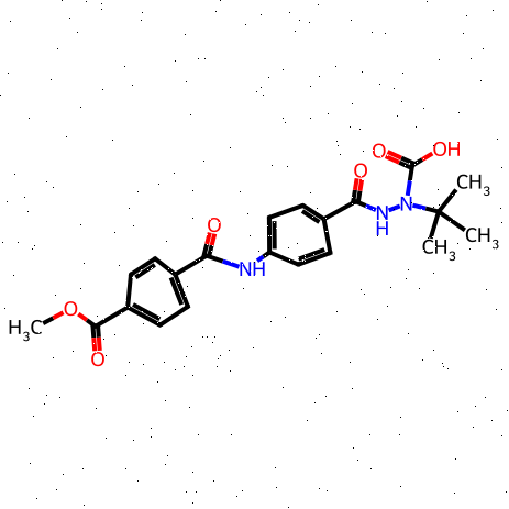 COC(=O)c1ccc(C(=O)Nc2ccc(C(=O)NN(C(=O)O)C(C)(C)C)cc2)cc1